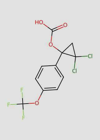 O=C(O)OC1(c2ccc(OC(F)(F)F)cc2)CC1(Cl)Cl